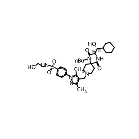 CCCCN1C(=O)[C@@H]([C@H](O)C2CCCCC2)NC(=O)C12CCN(Cc1c(C)nn(-c3ccc(S(=O)(=O)NCCO)cc3)c1C)CC2